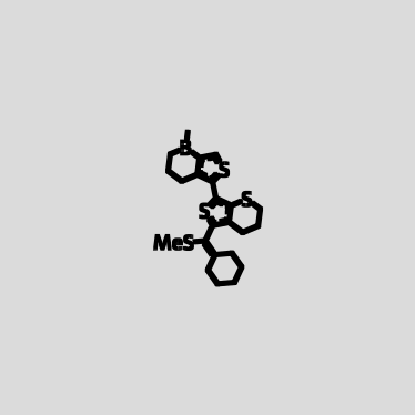 CSC(=C1CCCCC1)c1sc(-c2scc3c2CCCB3C)c2c1CCCS2